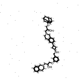 OC(COc1cccc(CNC2CC(c3ccc4c(c3)CCN(CC(O)COC35CC6CC(CC(C6)C3)C5)C4)C2)c1)CN1CCc2ccccc2C1